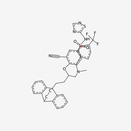 CN(Cc1ccc(C(F)(F)F)cc1)CC(CCC12CCC(c3ccccc31)c1ccccc12)Oc1ccc(S(=O)(=O)Nc2ncns2)cc1C#N